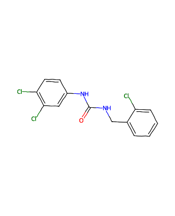 O=C(NCc1ccccc1Cl)Nc1ccc(Cl)c(Cl)c1